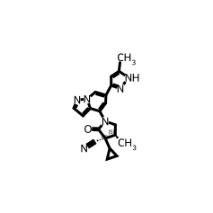 Cc1cc(-c2cc(N3C[C@@H](C)[C@@](C#N)(C4CC4)C3=O)c3ccnn3c2)n[nH]1